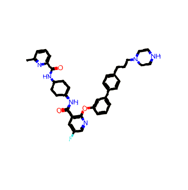 Cc1cccc(C(=O)NC2CCC(NC(=O)c3cc(F)cnc3Oc3cccc(-c4ccc(CCCN5CCNCC5)cc4)c3)CC2)n1